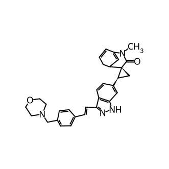 CN1C(=O)[C@@]2(C[C@H]2c2ccc3c(/C=C/c4ccc(CN5CCOCC5)cc4)n[nH]c3c2)C2C=C1C=CC2